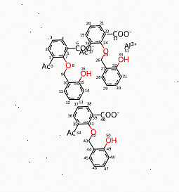 CC(=O)c1cccc(C(=O)[O-])c1OCc1ccccc1O.CC(=O)c1cccc(C(=O)[O-])c1OCc1ccccc1O.CC(=O)c1cccc(C(=O)[O-])c1OCc1ccccc1O.[Al+3]